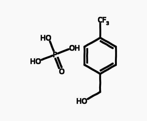 O=P(O)(O)O.OCc1ccc(C(F)(F)F)cc1